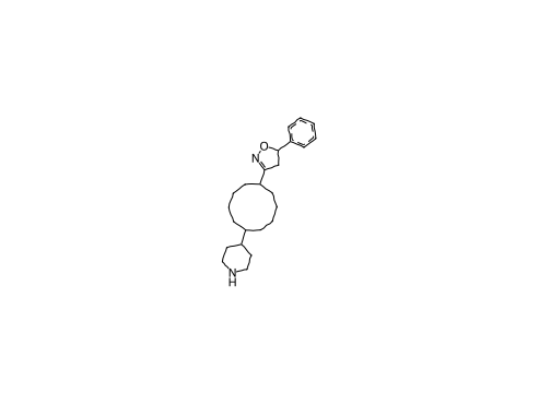 c1ccc(C2CC(C3CCCCC(C4CCNCC4)CCCC3)=NO2)cc1